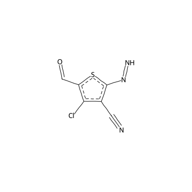 N#Cc1c(N=N)sc(C=O)c1Cl